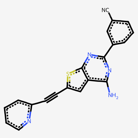 N#Cc1cccc(-c2nc(N)c3cc(C#Cc4ccccn4)sc3n2)c1